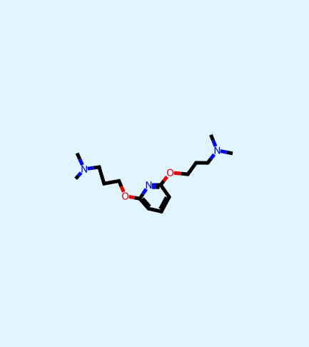 CN(C)CCCOc1cccc(OCCCN(C)C)n1